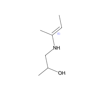 C/C=C(\C)NCC(C)O